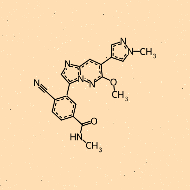 CNC(=O)c1ccc(C#N)c(-c2cnc3cc(-c4cnn(C)c4)c(OC)nn23)c1